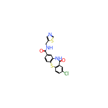 O=C(NCc1cncs1)c1ccc2c(c1)NC(=O)c1cc(Cl)ccc1S2